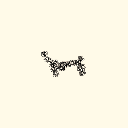 C1=C(c2ccc3cc(-c4cccnc4)ccc3c2)N(c2ccccc2)C1c1ccc(-c2ccccc2)c2cc(-c3ccnc4c3ccc3ccc(-c5ccc6cc(-c7cc(-c8ccc(-c9ccccc9)c9ccccc89)nc(-c8ccccc8)n7)ccc6c5)nc34)ccc12